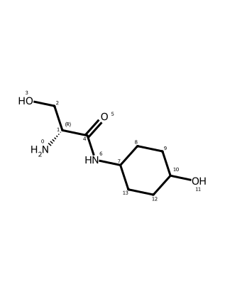 N[C@H](CO)C(=O)NC1CCC(O)CC1